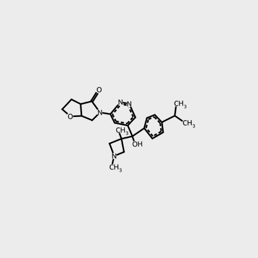 CC(C)c1ccc(C(O)(c2cnnc(N3CC4OCCC4C3=O)c2)C2(C)CN(C)C2)cc1